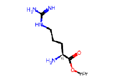 CCCOC(=O)[C@@H](N)CCCNC(=N)N